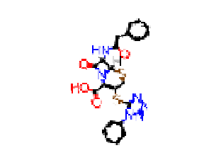 O=C(Cc1ccccc1)N[C@@H]1C(=O)N2C(C(=O)O)=C(Sc3nnnn3-c3ccccc3)CS[C@@H]12